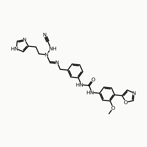 COc1cc(NC(=O)Nc2cccc(CN=CN(CCc3c[nH]cn3)NC#N)c2)ccc1-c1cnco1